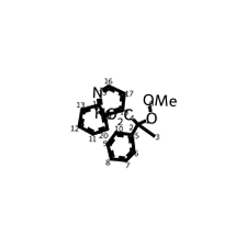 COOC(C)(C(=O)O)c1ccccc1.c1ccc2ncccc2c1